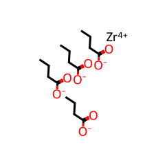 CCCC(=O)[O-].CCCC(=O)[O-].CCCC(=O)[O-].CCCC(=O)[O-].[Zr+4]